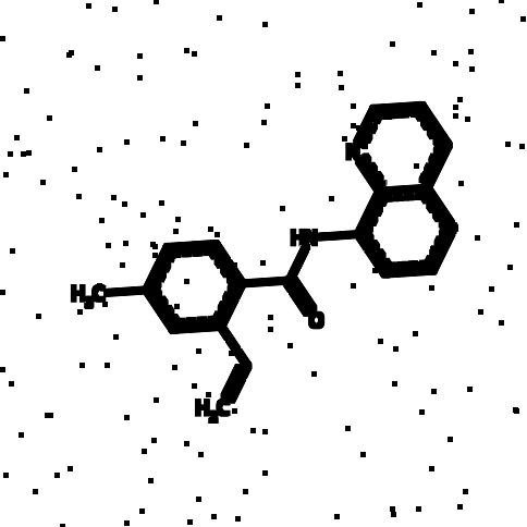 C=Cc1cc(C)ccc1C(=O)Nc1cccc2cccnc12